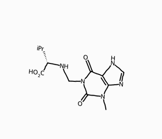 CC(C)[C@H](NCn1c(=O)c2[nH]cnc2n(C)c1=O)C(=O)O